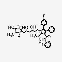 CC(C)c1c(C(=O)Nc2ccccc2)c(-c2ccccc2)c(-c2ccc(F)cc2)n1CC[C@@H](O)C[C@@H](O)CC(=O)N[C@H](C)C(=O)O